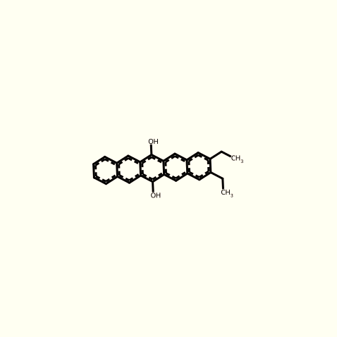 CCc1cc2cc3c(O)c4cc5ccccc5cc4c(O)c3cc2cc1CC